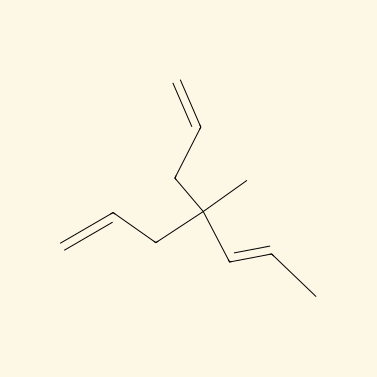 C=CCC(C)(C=CC)CC=C